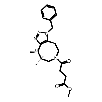 COC(=O)CCC(=O)N1CCc2c(nnn2Cc2ccccc2)[C@H](C)[C@@H](C)C1